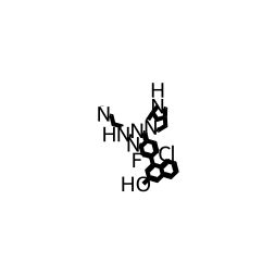 CN(C)CCCNc1nc(N2CCC3CNC(C3)C2)c2cc(Cl)c(-c3cc(O)cc4ccccc34)c(F)c2n1